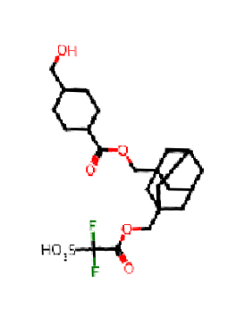 O=C(OCC12CC3CC(C1)CC(COC(=O)C(F)(F)S(=O)(=O)O)(C3)C2)C1CCC(CO)CC1